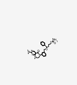 CN(C)c1ncc2c(n1)N(C)CCN(c1cccc(CO[C@H](CCCOC(N)=O)c3ccccc3)c1)C2=O